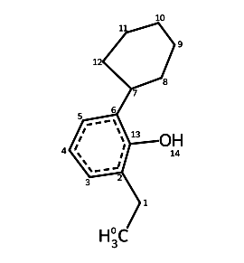 CCc1cccc(C2CCCCC2)c1O